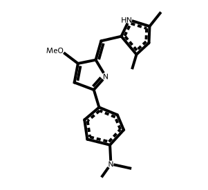 COC1=CC(c2ccc(N(C)C)cc2)=N/C1=C\c1[nH]c(C)cc1C